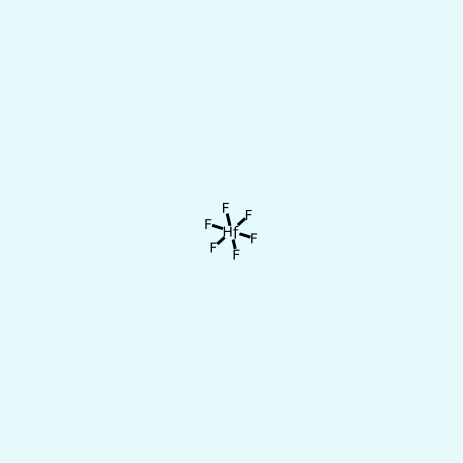 [F][Hf]([F])([F])([F])([F])[F]